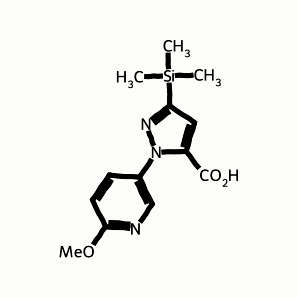 COc1ccc(-n2nc([Si](C)(C)C)cc2C(=O)O)cn1